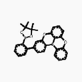 CC1(C)OB(c2ccccc2-c2ccc3c(c2)Oc2cccc4c2B3c2ccccc2O4)OC1(C)C